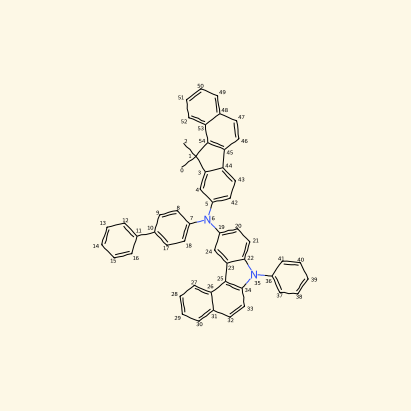 CC1(C)c2cc(N(c3ccc(-c4ccccc4)cc3)c3ccc4c(c3)c3c5ccccc5ccc3n4-c3ccccc3)ccc2-c2ccc3ccccc3c21